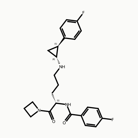 O=C(N[C@@H](CCCN[C@@H]1C[C@H]1c1ccc(F)cc1)C(=O)N1CCC1)c1ccc(F)cc1